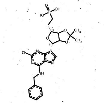 CC1(C)OC2C(O1)[C@@H](CCP(=O)(O)O)O[C@H]2n1cnc2c(NCc3ccccc3)nc(Cl)nc21